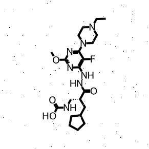 CCN1CCN(c2nc(OC)nc(NNC(=O)[C@@H](CNC(=O)O)CC3CCCC3)c2F)CC1